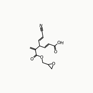 C=C(C(=O)OCC1CO1)C(C=CC#N)C=CC(=O)O